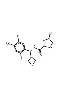 O=C(N[C@@H](c1cc(F)c(C(F)(F)F)cc1F)C1COC1)C1C[C@@H](O)CN1